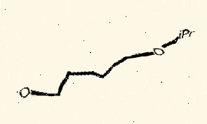 CC(C)OCCCC[O]